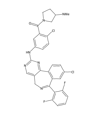 CNC1CCN(C(=O)c2cc(Nc3ncc4c(n3)-c3ccc(Cl)cc3C(c3c(F)cccc3F)=NC4)ccc2Cl)C1